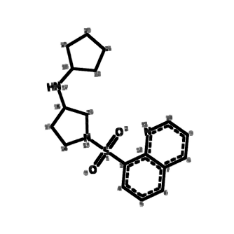 O=S(=O)(c1cccc2cccnc12)N1CCC(NC2CCCC2)C1